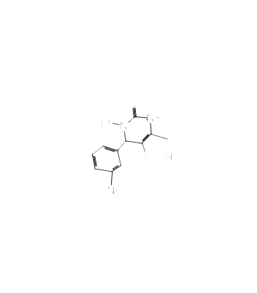 CCN1C(=S)NC(C)=C(C(=O)O)C1c1cccc([N+](=O)[O-])c1